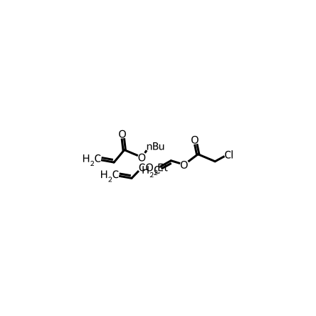 C=CC(=O)OCC.C=CC(=O)OCCCC.C=COC(=O)CCl